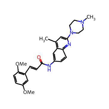 COc1ccc(OC)c(/C=C/C(=O)Nc2ccc3nc(N4CCN(C)CC4)cc(C)c3c2)c1